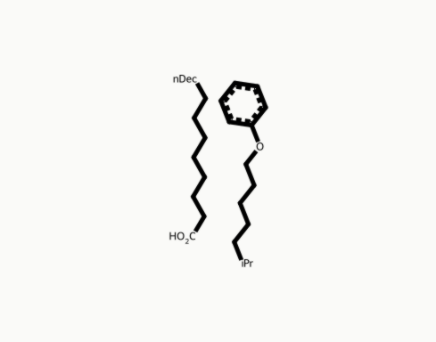 CC(C)CCCCCOc1ccccc1.CCCCCCCCCCCCCCCCCC(=O)O